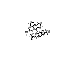 NC(=O)C1Cc2ccccc2N1.O=C(O)C(F)(F)F.O=C(O)CN(C(=O)c1ccccc1)c1ccccc1